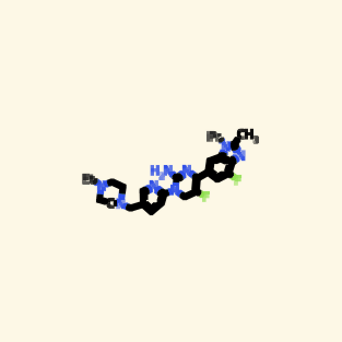 CCN1CCN(Cc2ccc(N3CC(F)=C(c4cc(F)c5nc(C)n(C(C)C)c5c4)N=C3N)nc2)CC1